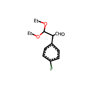 CCOC(OCC)C(C=O)c1ccc(F)cc1